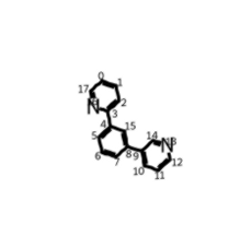 c1ccc(-c2cccc(-c3cccnc3)c2)nc1